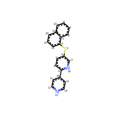 c1ccc2c(Sc3ccc(-c4ccncc4)nc3)cccc2c1